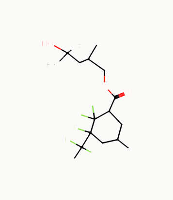 CC(COC(=O)C1CC(C)CC(F)(C(C)(F)F)C1(F)F)CC(O)(C(F)(F)F)C(F)(F)F